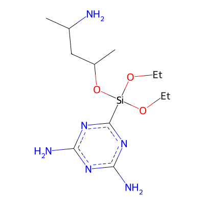 CCO[Si](OCC)(OC(C)CC(C)N)c1nc(N)nc(N)n1